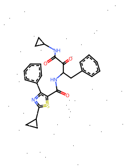 O=C(NC1CC1)C(=O)C(Cc1ccccc1)NC(=O)c1sc(C2CC2)nc1-c1ccccc1